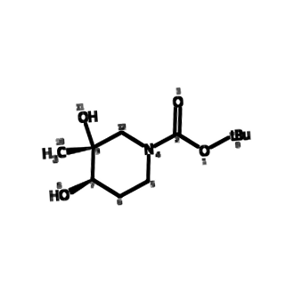 CC(C)(C)OC(=O)N1CC[C@@H](O)[C@](C)(O)C1